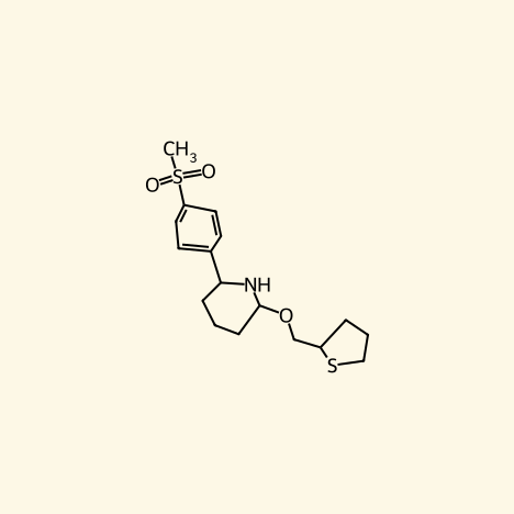 CS(=O)(=O)c1ccc(C2CCCC(OCC3CCCS3)N2)cc1